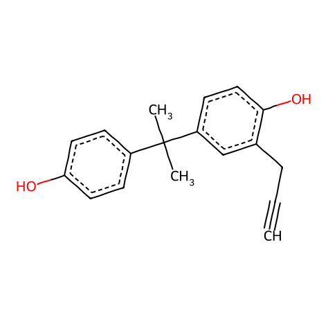 C#CCc1cc(C(C)(C)c2ccc(O)cc2)ccc1O